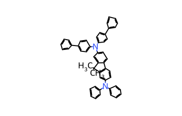 CC1(C)c2cc(N(c3ccccc3)c3ccccc3)ccc2-c2ccc(N(c3ccc(-c4ccccc4)cc3)c3ccc(-c4ccccc4)cc3)cc21